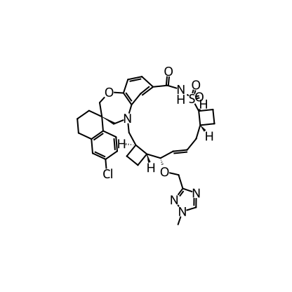 Cn1cnc(CO[C@H]2/C=C/C[C@H]3CC[C@@H]3S(=O)(=O)NC(=O)c3ccc4c(c3)N(C[C@@H]3CC[C@H]32)C[C@@]2(CCCc3cc(Cl)ccc32)CO4)n1